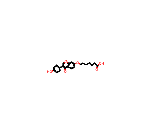 O=C(O)CCCCCCOc1ccc2c(=O)c(-c3ccc(O)cc3)coc2c1